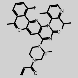 C=CC(=O)N1CCN(c2nc(=O)n(-c3c(C)ccnc3C(C)C)c3nc(-c4c(F)cccc4C(=C)C)c(Cl)cc23)[C@@H](C)C1